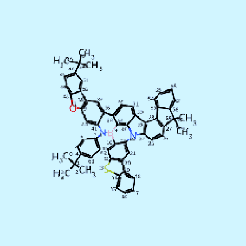 CC(C)(C)c1ccc(N2B3c4cc5sc6ccccc6c5cc4-n4c5ccc6c(c5c5ccc(c3c54)-c3cc4c(cc32)oc2ccc(C(C)(C)C)cc24)-c2ccccc2C6(C)C)cc1